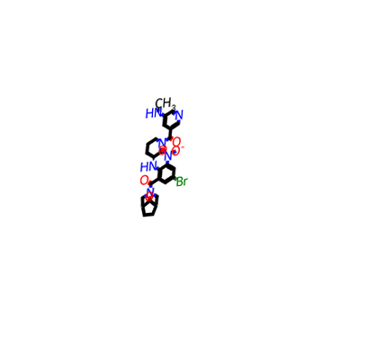 CNc1cncc(C(=O)N2CCC[C@@H](Nc3c(C(=O)N4CC5CCC(C4)C5=O)cc(Br)cc3[N+](=O)[O-])C2)c1